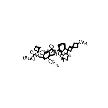 Cn1cnnc1C1(c2cccc(N3Cc4c(cc(CN(C(=O)OC(C)(C)C)C5(C)CCC5)cc4C(F)(F)F)C3=O)c2)CC2(CC(O)C2)C1